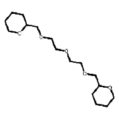 C1CCC(COCCOCCOCC2CCCCO2)OC1